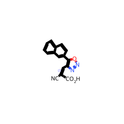 N#C/C(=C/c1nnoc1-c1ccc2ccccc2c1)C(=O)O